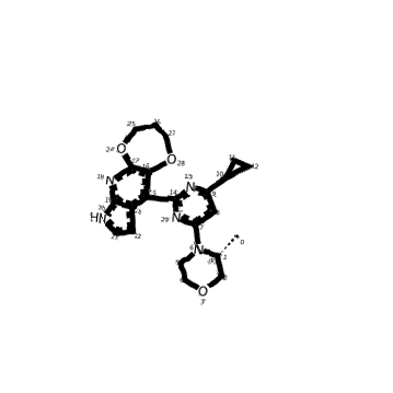 C[C@@H]1COCCN1c1cc([C]2CC2)nc(-c2c3c(nc4[nH]ccc24)OCCCO3)n1